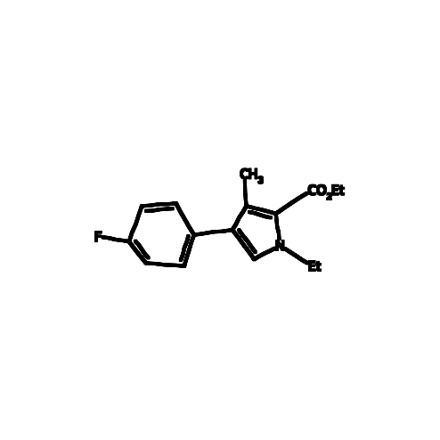 CCOC(=O)c1c(C)c(-c2ccc(F)cc2)cn1CC